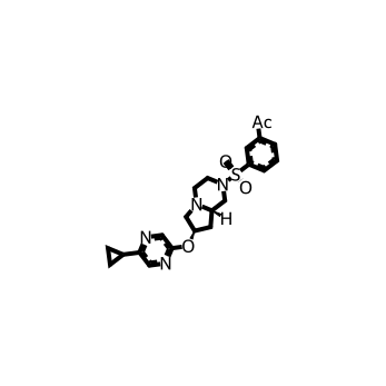 CC(=O)c1cccc(S(=O)(=O)N2CCN3C[C@H](Oc4cnc(C5CC5)cn4)C[C@H]3C2)c1